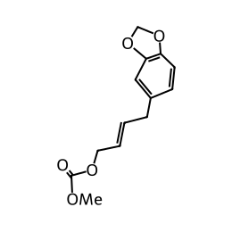 COC(=O)OCC=CCc1ccc2c(c1)OCO2